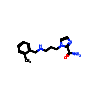 Cc1ccccc1CNCCCn1c[c]nc1C(N)=O